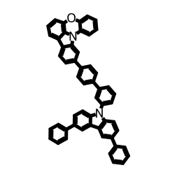 c1ccc(-c2ccc3c(c2)c2cc(-c4ccccc4)ccc2n3-c2cccc(-c3ccc(-c4ccc5c6cccc7c6n(c5c4)-c4ccccc4O7)cc3)c2)cc1